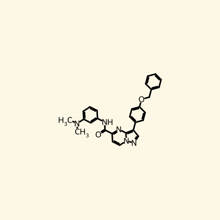 CN(C)c1cccc(NC(=O)c2ccn3ncc(-c4ccc(OCc5ccccc5)cc4)c3n2)c1